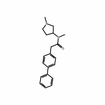 CN1CCC(N(C)C(=O)Cc2ccc(-c3ccccc3)cc2)C1